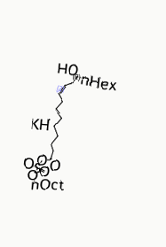 CCCCCCCCOS(=O)(=O)OC(=O)CCCCCCC/C=C\C[C@H](O)CCCCCC.[KH]